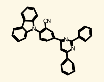 N#Cc1cc(-c2cc(-c3ccccc3)nc(-c3ccccc3)n2)ccc1-n1c2ccccc2c2ccccc21